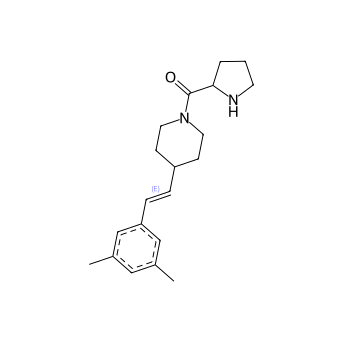 Cc1cc(C)cc(/C=C/C2CCN(C(=O)C3CCCN3)CC2)c1